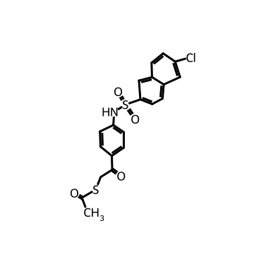 CC(=O)SCC(=O)c1ccc(NS(=O)(=O)c2ccc3cc(Cl)ccc3c2)cc1